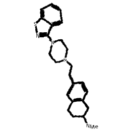 CNC1CCc2cc(CCN3CCN(c4nsc5ccccc45)CC3)ccc2C1